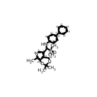 Cc1ncc(C(Nc2ccc(-c3ccccc3)cc2)P(C)(C)=O)c2c1OC(C)(C)OC2